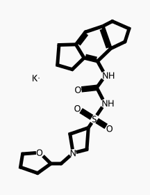 O=C(Nc1c2c(cc3c1CCC3)CCC2)NS(=O)(=O)C1CN(CC2CCCO2)C1.[K]